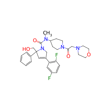 CN(C(=O)N1CC(c2cc(F)ccc2F)=CC1(CO)c1ccccc1)C1CCN(C(=O)CN2CCOCC2)CC1